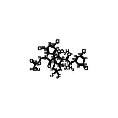 CN(C(=O)[C@H]1[C@H]2CC(F)(F)CN2[C@]2(C(=O)N(COC(=O)C(C)(C)C)c3c(Cl)cc(Cl)cc32)[C@H]1C(=O)O)c1cc(Cl)cc(Cl)c1